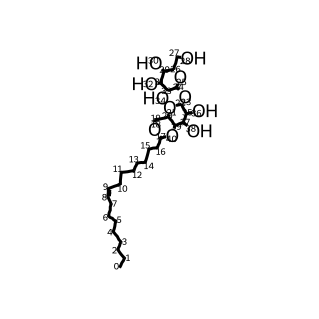 CCCCCCCC/C=C\CCCCCCCC1OCC2OC(OC3OC(CO)C(O)C(O)C3O)C(O)C(O)C2O1